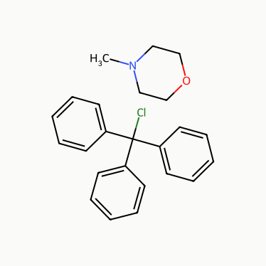 CN1CCOCC1.ClC(c1ccccc1)(c1ccccc1)c1ccccc1